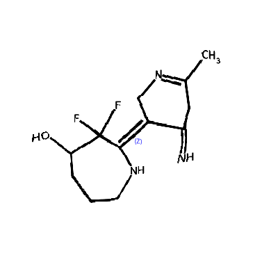 CC1=NC/C(=C2/NCCCC(O)C2(F)F)C(=N)C1